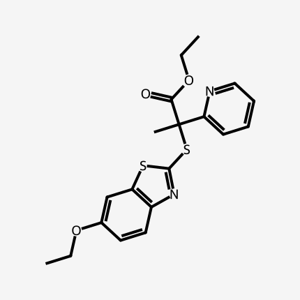 CCOC(=O)C(C)(Sc1nc2ccc(OCC)cc2s1)c1ccccn1